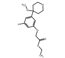 CCOC(=O)COc1cc(F)cc(C2(OC)CCOCC2)c1